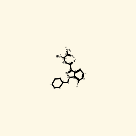 CC(C)(C)[C@H](NC(=O)c1nn(CC2CCCCC2)c2c(F)cccc12)C(N)=O